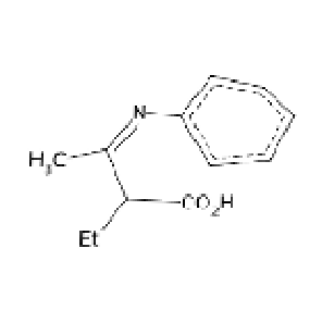 CCC(C(=O)O)/C(C)=N\c1ccccc1